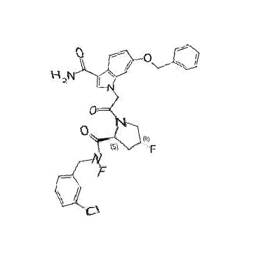 NC(=O)c1cn(CC(=O)N2C[C@H](F)C[C@H]2C(=O)N(F)Cc2cccc(Cl)c2)c2cc(OCc3ccccc3)ccc12